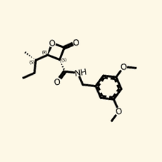 CC[C@H](C)[C@H]1OC(=O)[C@@H]1C(=O)NCc1cc(OC)cc(OC)c1